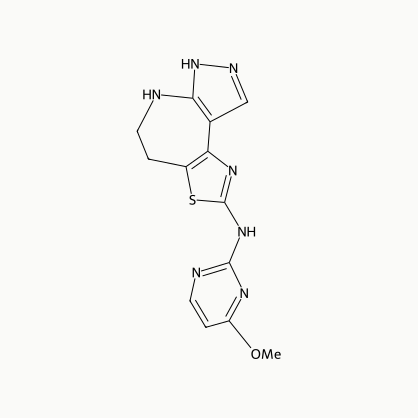 COc1ccnc(Nc2nc3c(s2)CCNc2[nH]ncc2-3)n1